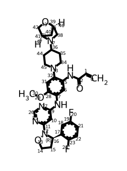 C=CC(=O)Nc1cc(Nc2cc(N3OCC[C@@H]3c3cc(F)ccc3F)ncn2)c(OC)cc1N1CCC(N2C[C@H]3C[C@@H]2CO3)CC1